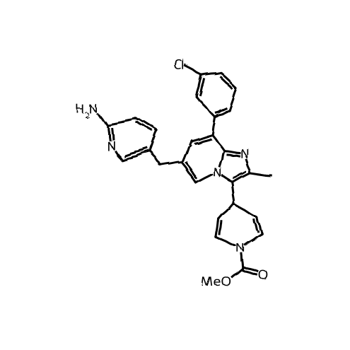 COC(=O)N1C=CC(c2c(C)nc3c(-c4cccc(Cl)c4)cc(Cc4ccc(N)nc4)cn23)C=C1